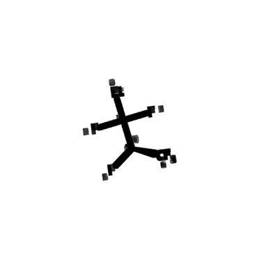 CCC(F)(F)[C@H](F)C(F)(F)F